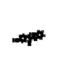 N#CC(=Cc1ccc(O)cc1)c1nc2ccccc2[nH]1